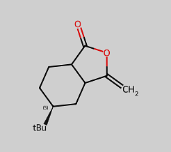 C=C1OC(=O)C2CC[C@H](C(C)(C)C)CC12